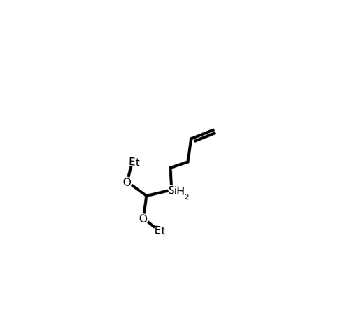 C=CCC[SiH2]C(OCC)OCC